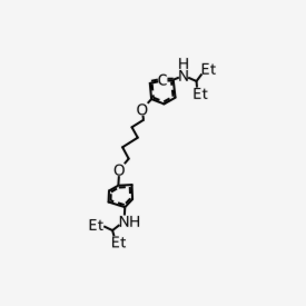 CCC(CC)Nc1ccc(OCCCCCOc2ccc(NC(CC)CC)cc2)cc1